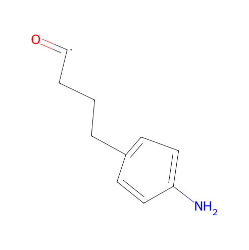 Nc1ccc(CCC[C]=O)cc1